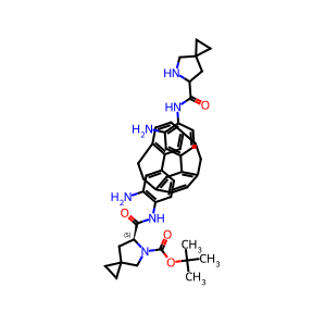 CC(C)(C)OC(=O)N1CC2(CC2)C[C@H]1C(=O)Nc1ccc(-c2cc3ccc2CCc2ccc(c(-c4ccc(NC(=O)C5CC6(CC6)CN5)c(N)c4)c2)CC3)cc1N